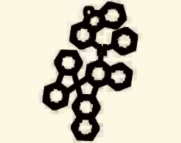 c1ccc(N(c2cc3c(c4ccccc24)-c2cc4ccccc4cc2C32c3ccccc3-c3ccccc32)c2cccc3oc4ccccc4c23)cc1